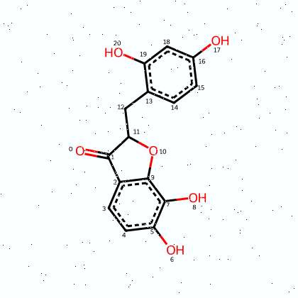 O=C1c2ccc(O)c(O)c2OC1Cc1ccc(O)cc1O